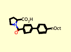 CCCCCCCCc1ccc(-c2ccc(C(=O)N3CCCC3C(=O)O)cc2)cc1